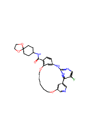 O=C(NC1CCC2(CC1)OCCO2)c1ccc2cc1OCCCCCOc1cncc(c1)-c1nc(ncc1F)N2